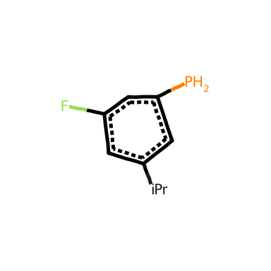 CC(C)c1cc(F)cc(P)c1